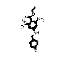 CCOC(=O)c1c(N)cc(NCc2ccc(F)cc2)cc1[N+](=O)[O-]